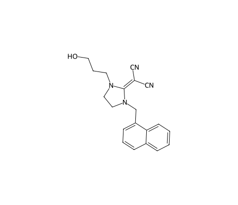 N#CC(C#N)=C1N(CCCO)CCN1Cc1cccc2ccccc12